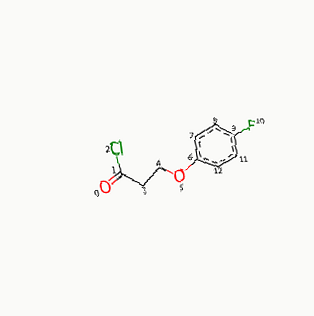 O=C(Cl)CCOc1ccc(F)cc1